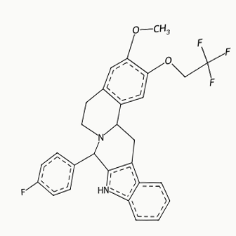 COc1cc2c(cc1OCC(F)(F)F)C1Cc3c([nH]c4ccccc34)C(c3ccc(F)cc3)N1CC2